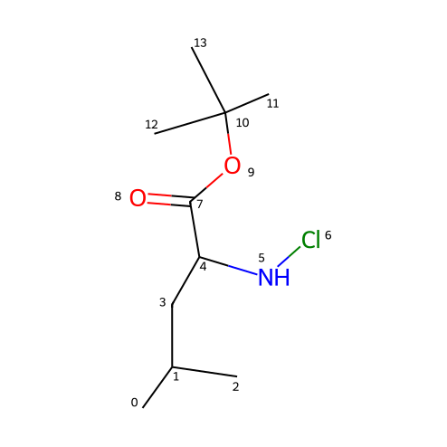 CC(C)CC(NCl)C(=O)OC(C)(C)C